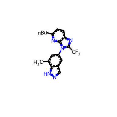 CCCCc1ccc2nc(C(F)(F)F)n(-c3cc(C)c4[nH]ncc4c3)c2n1